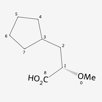 CO[C@@H](CC1CCCC1)C(=O)O